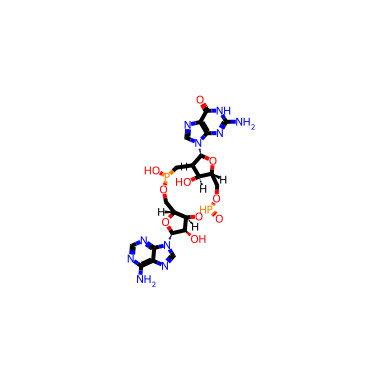 Nc1nc2c(ncn2[C@@H]2O[C@@H]3CO[PH](=O)O[C@H]4[C@@H](O)[C@H](n5cnc6c(N)ncnc65)O[C@@H]4COP(O)C[C@@H]2[C@@H]3O)c(=O)[nH]1